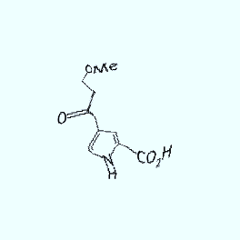 COCCC(=O)c1c[nH]c(C(=O)O)c1